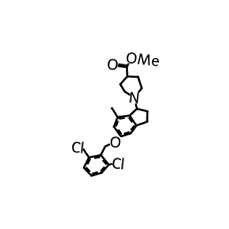 COC(=O)C1CCN(C2CCc3cc(OCc4c(Cl)cccc4Cl)cc(C)c32)CC1